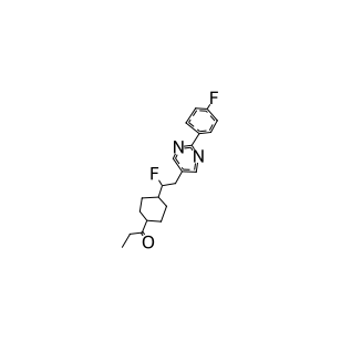 CCC(=O)C1CCC(C(F)Cc2cnc(-c3ccc(F)cc3)nc2)CC1